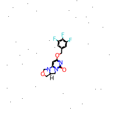 O=c1nc(OCc2cc(F)c(F)c(F)c2)cc2n1C[C@@H]1COCN21